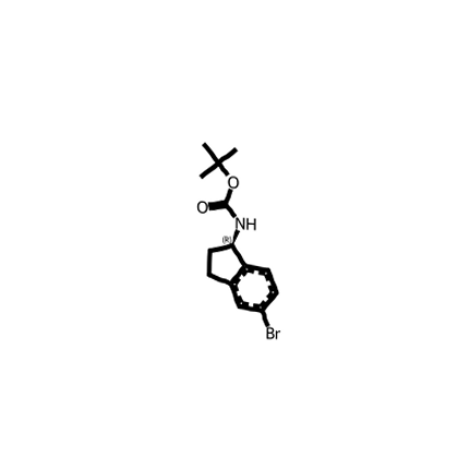 CC(C)(C)OC(=O)N[C@@H]1CCc2cc(Br)ccc21